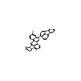 Cc1ccc2c(c1)c(-c1ccc3c4c(cccc14)-c1ccccc1-3)cc1c3ccc(C)c4c3c(cc21)-c1ncccc1-4